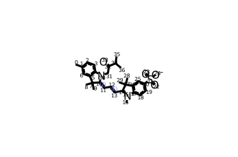 Cc1ccc2c(c1)C(C)(C)/C(=C/C=C/C1=[N+](C)c3ccc(S(=O)(=O)[O-])cc3C1(C)C)N2CC(=O)C(C)C